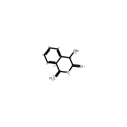 C=C1OC(=O)C(O)c2ccccc21